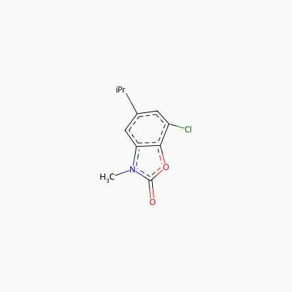 CC(C)c1cc(Cl)c2oc(=O)n(C)c2c1